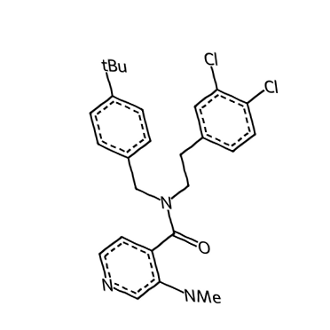 CNc1cnccc1C(=O)N(CCc1ccc(Cl)c(Cl)c1)Cc1ccc(C(C)(C)C)cc1